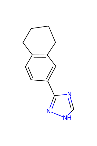 c1nc(-c2ccc3c(c2)CCCC3)n[nH]1